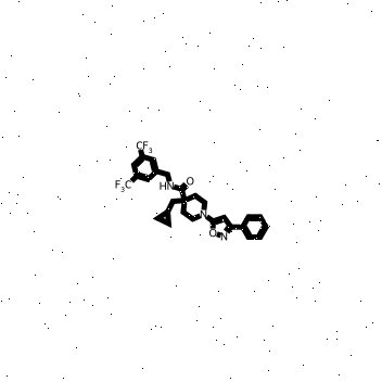 O=C(NCc1cc(C(F)(F)F)cc(C(F)(F)F)c1)C1(CC2CC2)CCN(c2cc(-c3ccccc3)no2)CC1